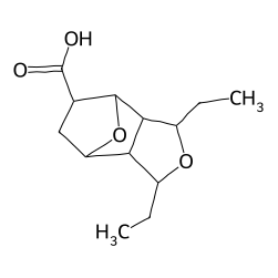 CCC1OC(CC)C2C3OC(CC3C(=O)O)C12